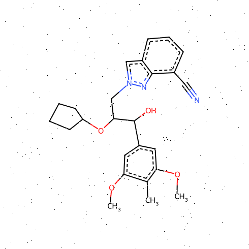 COc1cc(C(O)C(Cn2cc3cccc(C#N)c3n2)OC2CCCC2)cc(OC)c1C